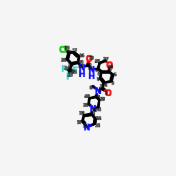 CN(C(=O)c1ccc2c(c1)C(NC(=O)Nc1ccc(Cl)cc1C(F)(F)F)CCO2)C1CCN(c2ccncc2)CC1